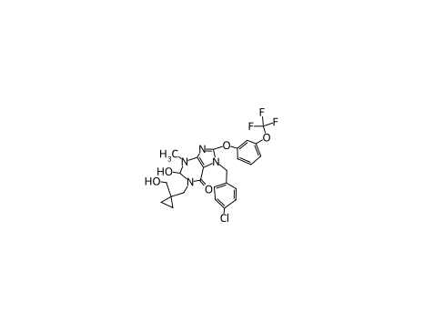 CN1c2nc(Oc3cccc(OC(F)(F)F)c3)n(Cc3ccc(Cl)cc3)c2C(=O)N(CC2(CO)CC2)C1O